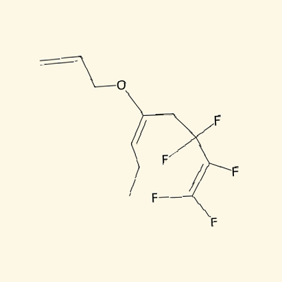 C=CCOC(=CCC)CC(F)(F)C(F)=C(F)F